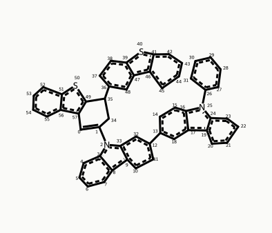 C1=C(n2c3ccccc3c3ccc(-c4ccc5c(c4)c4ccccc4n5-c4ccccc4)cc32)CC(c2ccc3sc4ccccc4c3c2)c2sc3ccccc3c21